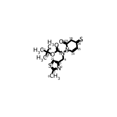 Cc1nc(CN(C(=O)OC(C)(C)C)N2C=CC(=S)CC2=O)cs1